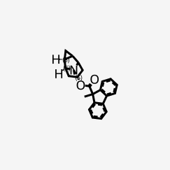 CN1C2C[C@H](OC(=O)C3(C)c4ccccc4-c4ccccc43)C[C@H]1[C@H]1CC21